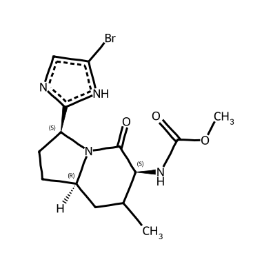 COC(=O)N[C@@H]1C(=O)N2[C@H](CC[C@H]2c2ncc(Br)[nH]2)CC1C